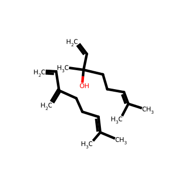 C=CC(=C)CCC=C(C)C.C=CC(C)(O)CCC=C(C)C